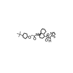 CC(C)(C)c1ccc(OCC(=O)Nc2ccc(S(=O)(=O)Nc3nccs3)c3ccccc23)cc1